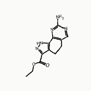 CCOC(=O)c1n[nH]c2c1CCc1cnc(N)nc1-2